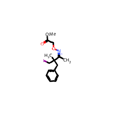 COC(=O)CO/N=C(/C)C(C)(CI)Cc1ccccc1